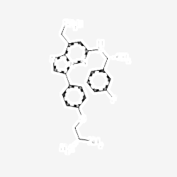 C[C@@H](N)COc1ccc(-c2cnc3c(CS(=O)(=O)O)cc(N[C@H](C)c4cccc(F)c4)nn23)cc1